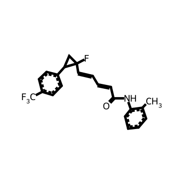 Cc1ccccc1NC(=O)/C=C/C=C/C1(F)CC1c1ccc(C(F)(F)F)cc1